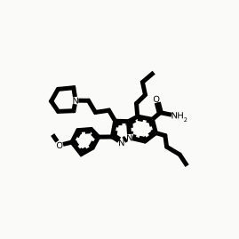 CCCCc1cn2nc(-c3ccc(OC)cc3)c(CCCN3CCCCC3)c2c(CCCC)c1C(N)=O